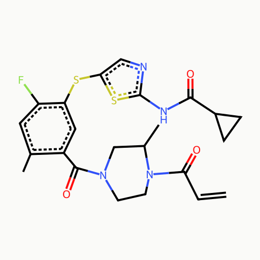 C=CC(=O)N1CCN(C(=O)c2cc(Sc3cnc(NC(=O)C4CC4)s3)c(F)cc2C)CC1C